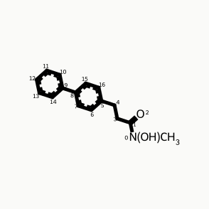 CN(O)C(=O)CCc1ccc(-c2ccccc2)cc1